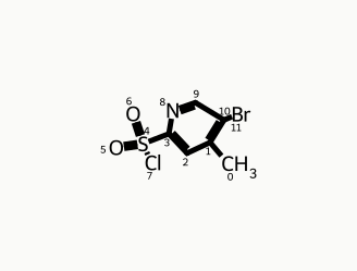 Cc1cc(S(=O)(=O)Cl)ncc1Br